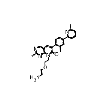 Cc1cccc(-c2ccc(-c3cc4cnc(C)nc4n(CCOCCN)c3=O)c(C)c2)n1